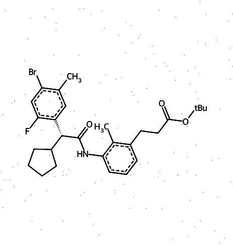 Cc1cc([C@H](C(=O)Nc2cccc(CCC(=O)OC(C)(C)C)c2C)C2CCCC2)c(F)cc1Br